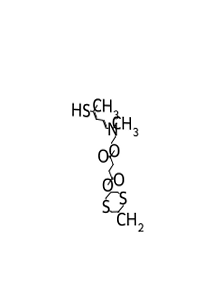 C=C1CSCC(OC(=O)CCC(=O)OCCN(C)/C=C/C=C(\C)S)CSC1